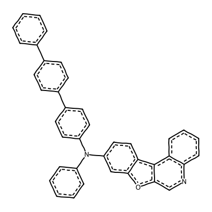 c1ccc(-c2ccc(-c3ccc(N(c4ccccc4)c4ccc5c(c4)oc4cnc6ccccc6c45)cc3)cc2)cc1